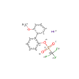 COc1ccccc1-c1ccccc1OS(=O)(=O)C(F)(F)F.I